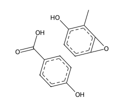 Cc1c(O)ccc2c1O2.O=C(O)c1ccc(O)cc1